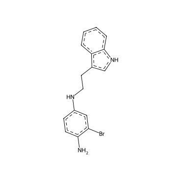 Nc1ccc(NCCc2c[nH]c3ccccc23)cc1Br